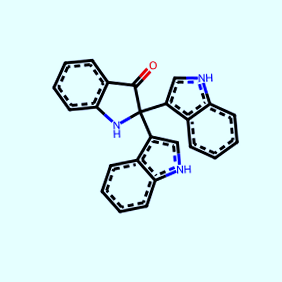 O=C1c2ccccc2NC1(c1c[nH]c2ccccc12)c1c[nH]c2ccccc12